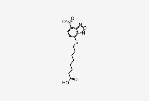 O=C(O)CCCCCCCSc1ccc([N+](=O)[O-])c2nonc12